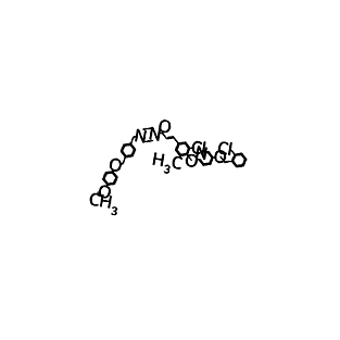 CCOc1ccc(OCc2ccc(CN3CCN(C(=O)/C=C/c4cc(C)c(Oc5ccc(OCc6ccccc6Cl)cn5)c(Cl)c4)CC3)cc2)cc1